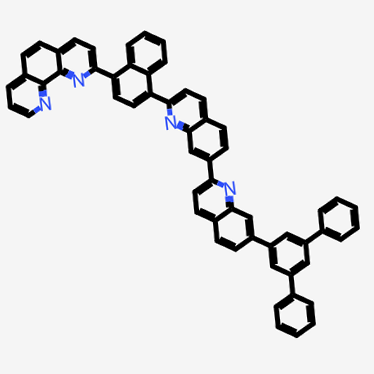 c1ccc(-c2cc(-c3ccccc3)cc(-c3ccc4ccc(-c5ccc6ccc(-c7ccc(-c8ccc9ccc%10cccnc%10c9n8)c8ccccc78)nc6c5)nc4c3)c2)cc1